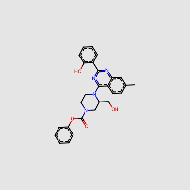 Cc1ccc2c(N3CCN(C(=O)Oc4ccccc4)CC3CO)nc(-c3ccccc3O)nc2c1